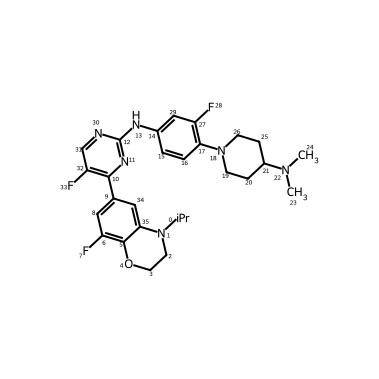 CC(C)N1CCOc2c(F)cc(-c3nc(Nc4ccc(N5CCC(N(C)C)CC5)c(F)c4)ncc3F)cc21